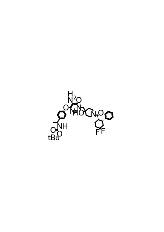 CC(NC(=O)OC(C)(C)C)c1ccc(Oc2ncn(CC3(O)CCN(C(=O)[C@@H]4CCC(F)(F)C[C@H]4c4ccccc4)CC3)c(=O)c2N)cc1